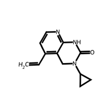 C=Cc1ccnc2c1CN(C1CC1)C(=O)N2